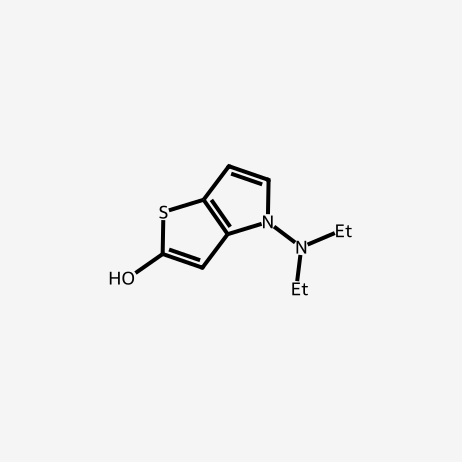 CCN(CC)n1ccc2sc(O)cc21